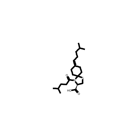 CC(C)CCC=C1CCC2(CC1)SC[C@@H](C(=O)O)N2C(=O)CCC(C)C